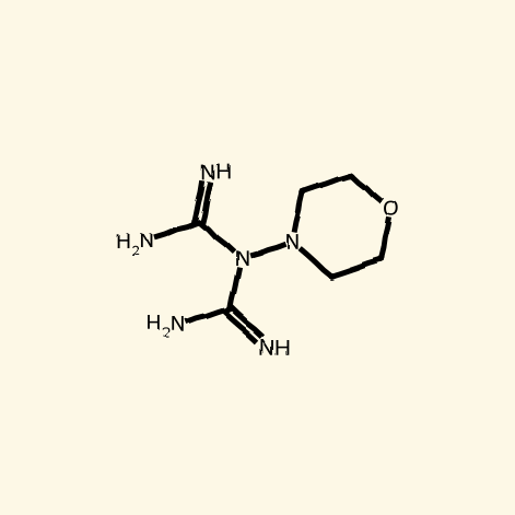 N=C(N)N(C(=N)N)N1CCOCC1